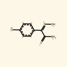 NC(=S)C(=NO)c1ccc(Cl)cc1